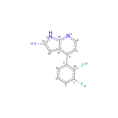 Fc1cccc(-c2ccnc3[nH]c(I)cc23)c1F